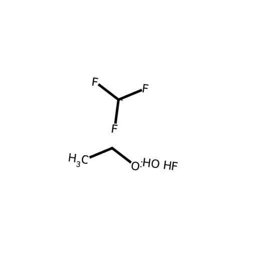 CC[O].F.F[C](F)F.[OH]